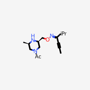 CC#C/C(=N\OC[C@H]1CN(C(C)=O)C[C@@H](C)N1)C(C)C